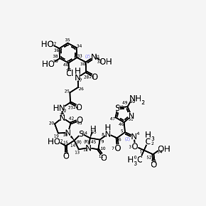 CC(C)(O/N=C(\C(=O)NC1C(=O)N2C[C@@](C(=O)O)(N3CCN(NC(=O)CCNC(=O)/C(=N\O)c4ccc(O)c(O)c4Cl)C3=O)S[C@H]12)c1csc(N)n1)C(=O)O